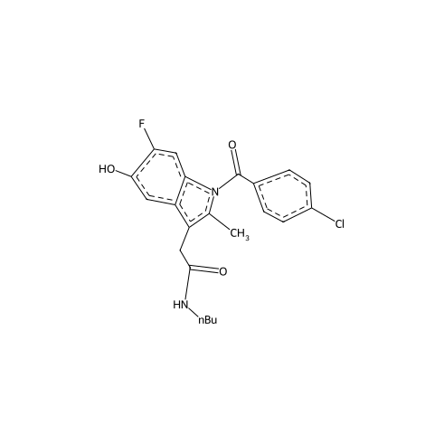 CCCCNC(=O)Cc1c(C)n(C(=O)c2ccc(Cl)cc2)c2cc(F)c(O)cc12